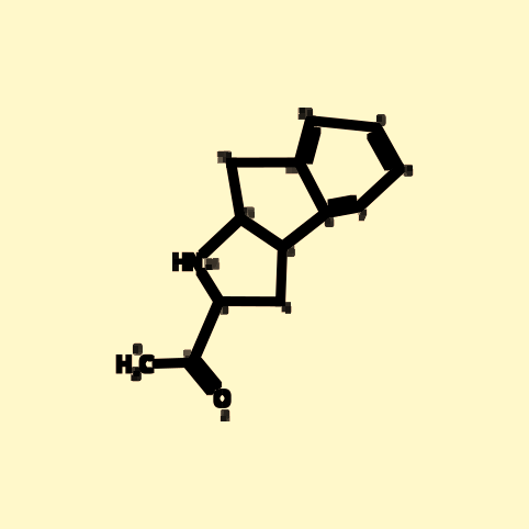 CC(=O)C1CC2c3ccccc3CC2N1